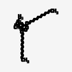 CCCCCCCCCCCCCOC(=O)c1ccccc1C(=O)OCCCCCCCCCCCCC.CCOCC